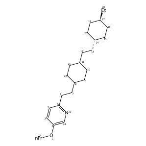 CCCOc1ccc(CCC2CCC(CC[C@H]3CC[C@H](CC)CC3)CC2)nc1